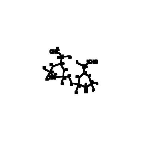 CN(C=O)C1CC(C)(C)NC(C)(CC[C@]2(C)CC(N(C)C=O)CC(C)(C)N2)C1